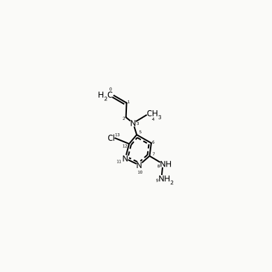 C=CCN(C)c1cc(NN)nnc1Cl